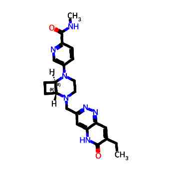 CCc1cc2nnc(CN3CCN(c4ccc(C(=O)NC)nc4)[C@@H]4CC[C@H]43)cc2[nH]c1=O